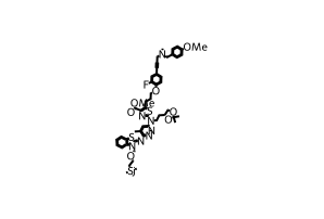 COC(=O)c1nc(N(CCC2COC(C)(C)O2)c2cc(C)c(/N=c3\sc4ccccc4n3COCC[Si](C)(C)C)nn2)sc1CCCOc1ccc(C#CCN(C)Cc2ccc(OC)cc2)cc1F